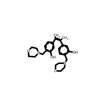 C/C(=C(\C)c1ccc(CN2CCOCC2)c(O)c1)c1ccc(CN2CCOCC2)c(O)c1